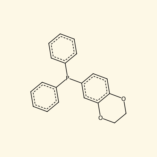 c1ccc(P(c2ccccc2)c2ccc3c(c2)OCCO3)cc1